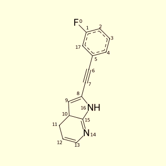 Fc1cccc(C#CC2=CC3CC=CN=C3N2)c1